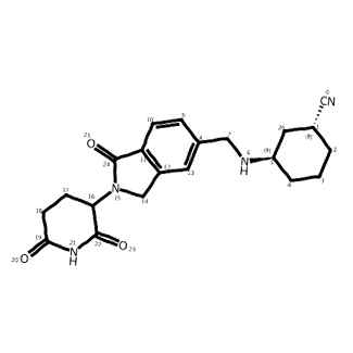 N#C[C@@H]1CCC[C@@H](NCc2ccc3c(c2)CN(C2CCC(=O)NC2=O)C3=O)C1